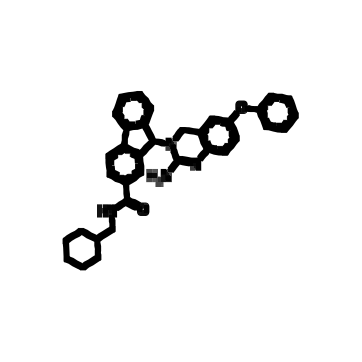 NC1=Nc2ccc(Oc3ccccc3)cc2CN1C1c2ccccc2-c2ccc(C(=O)NCC3CCCCC3)cc21